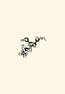 CCN(CC)S(=O)(=O)c1sc(Nc2nc(C3=CCCNC3)cn3c(-c4coc(N)c4)cnc23)cc1C